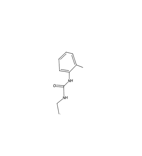 [CH2]CNC(=O)Nc1ccccc1C